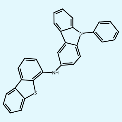 c1ccc(-n2c3ccccc3c3cc(Nc4cccc5c4sc4ccccc45)ccc32)cc1